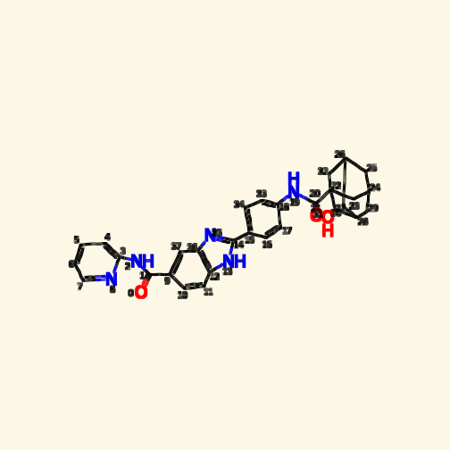 O=C(Nc1ccccn1)c1ccc2[nH]c(-c3ccc(NC(=O)C45CC6CC(CC(C6)C4O)C5)cc3)nc2c1